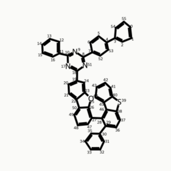 c1ccc(-c2ccc(-c3nc(-c4ccccc4)nc(-c4ccc5c(c4)oc4c(-c6c(-c7ccccc7)ccc7sc8ccccc8c67)cccc45)n3)cc2)cc1